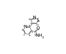 NC(=O)c1cccnc1-c1cnsc1